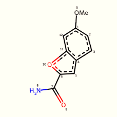 COc1ccc2cc(C(N)=O)oc2c1